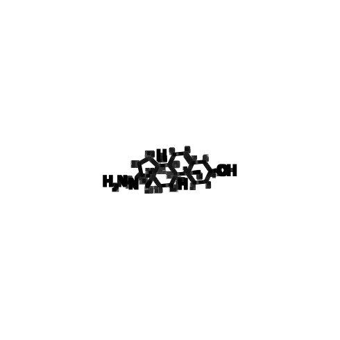 C[C@]12CC[C@H](O)CC1=CCC1[C@@H]2CC[C@]2(C)/C(=N/N)CC[C@@H]12